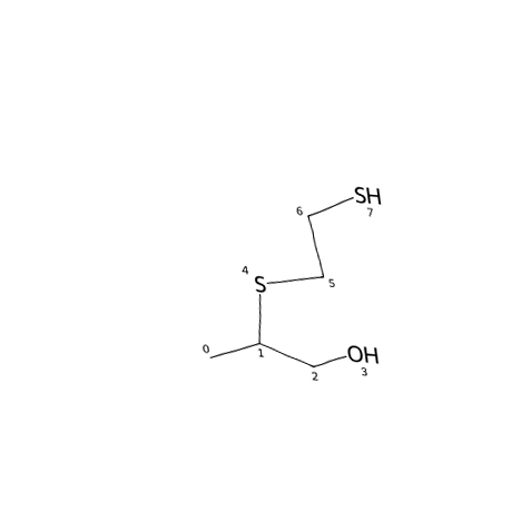 CC(CO)SCCS